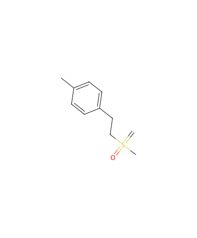 C=S(C)(=O)CCc1ccc(C)cc1